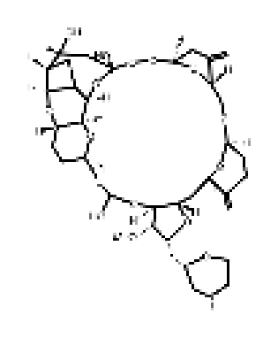 C=C1C[C@@H]2CC[C@@]3(O)C[C@@H](O)[C@@H]4CC5[C@H]4O[C@H]4CC[C@H](CC(O)C[C@@H]6[C@@H](OC)[C@@H](C[C@H]7CNCCO7)O[C@H]6C[C@H]6O[C@H](CCC6=C)CC[C@@H]1O2)O[C@@H]4[C@@H]5O3